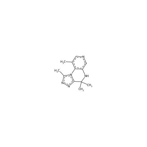 Cc1cncc2c1-n1c(C)nnc1C(C)(C)N2